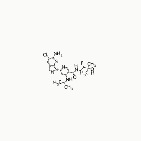 CC(C)Nc1cc(-n2ncc3cc(Cl)c(N)nc32)ncc1C(=O)NCC(F)C(C)(C)O